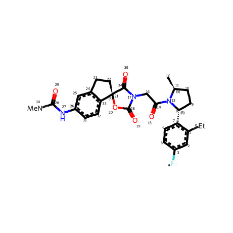 CCc1cc(F)ccc1[C@H]1CC[C@H](C)N1C(=O)CN1C(=O)O[C@@]2(CCc3cc(NC(=O)NC)ccc32)C1=O